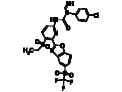 CCS(=O)(=O)c1ccc(NC(=O)N(C=N)c2ccc(Cl)cc2)nc1-c1nc2cc(S(=O)(=O)C(F)(F)F)ccc2o1